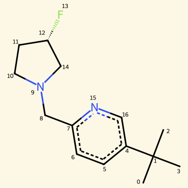 CC(C)(C)c1ccc(CN2CC[C@H](F)C2)nc1